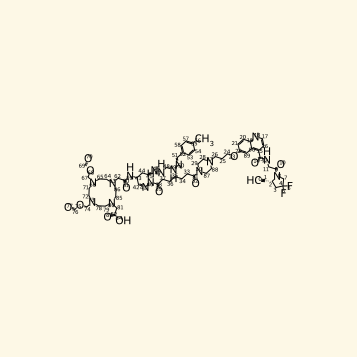 C#C[C@H]1CC(F)(F)CN1C(=O)CNC(=O)c1ccnc2ccc(OCCCN3CCN(C(=O)CCCCCC(=O)N/N=C\C(C/C=N/NCN/N=C/c4ccc(C)cc4)NC(=O)CN4CCN(COC=O)CCN(COC=O)CCN(CC(=O)O)CC4)CC3)cc12